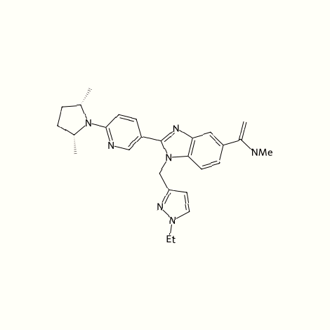 C=C(NC)c1ccc2c(c1)nc(-c1ccc(N3[C@H](C)CC[C@@H]3C)nc1)n2Cc1ccn(CC)n1